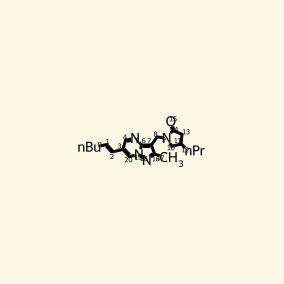 CCCCC=Cc1cnc2c(CN3CC(CCC)CC3=O)c(C)nn2c1